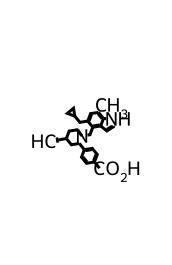 C#CC1CCN(Cc2c(CC3CC3)cc(C)c3[nH]ccc23)C(c2ccc(C(=O)O)cc2)C1